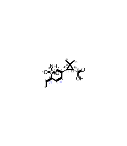 C=C(/C=C\C(=C/C)S(N)(=O)=O)[C@@H]1[C@@H](C(=O)O)C1(C)C